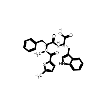 Cc1ccc(C(=O)N(C)[C@@H](Cc2ccccc2)C(=O)N[C@@H](Cc2c[nH]c3ccccc23)C(=O)O)s1